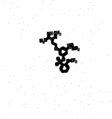 C=NN(CCOc1cc(C)cc(OS(=O)(=O)c2ccccc2OC(F)(F)F)c1)C(=N)N.O=[N+]([O-])O